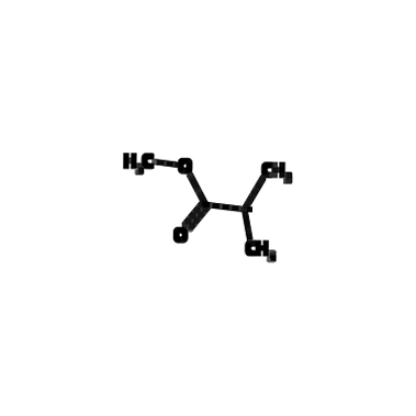 COC(=O)[C](C)C